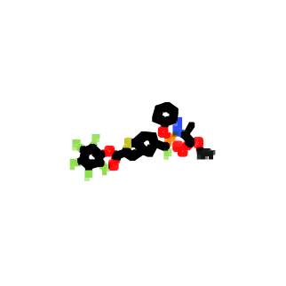 CCCOC(=O)[C@H](C)N[P@](=O)(Oc1ccccc1)[C@H](F)c1ccc2sc(C(=O)Oc3c(F)c(F)c(F)c(F)c3F)cc2c1